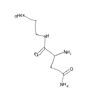 CCCCCCCCNC(=O)C(N)CC(N)=O